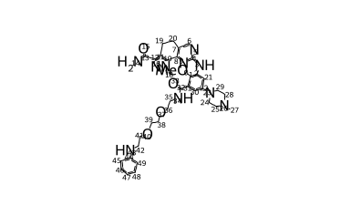 COc1c(Nc2ncc3c(n2)-c2c(c(C(N)=O)nn2C)CC3)cc(N2CCN(C)CC2)cc1C(=O)NCCOCCOCCNc1ccccc1